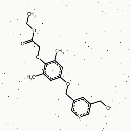 CCOC(=O)COc1c(C)cc(OCc2cncc(CCl)c2)cc1C